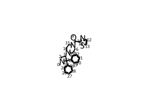 CN1CC(N2CCN(C(=O)c3nccs3)CC2)C1(c1ccccc1)c1ccccc1